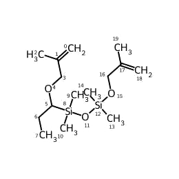 C=C(C)COC(CC)[Si](C)(C)O[Si](C)(C)OCC(=C)C